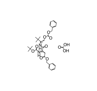 CC(C)(C)OC(=O)N[C@H](CC(=O)OCc1ccccc1)C(=O)N[C@H](COC(=O)OCc1ccccc1)C(C)(C)C.O=C(O)O